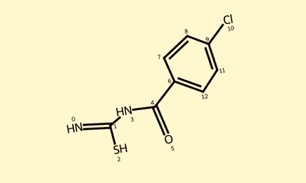 N=C(S)NC(=O)c1ccc(Cl)cc1